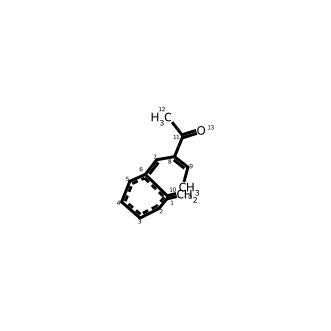 C=c1cccc/c1=C/C(=C\C)C(C)=O